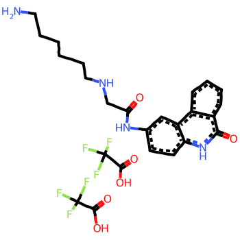 NCCCCCCNCC(=O)Nc1ccc2[nH]c(=O)c3ccccc3c2c1.O=C(O)C(F)(F)F.O=C(O)C(F)(F)F